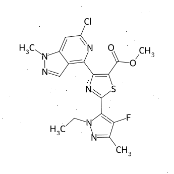 CCn1nc(C)c(F)c1-c1nc(-c2nc(Cl)cc3c2cnn3C)c(C(=O)OC)s1